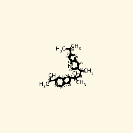 CC(C)c1cc2sc(C(C)(C)CC(C)c3cnc4cc(C(C)C)sc4c3)cc2cn1